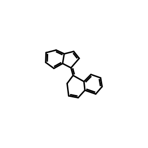 C1=Cc2ccccc2C(=C2C=Cc3ccccc32)C1